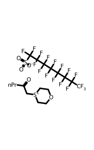 CCCC(=O)C[S+]1CCOCC1.O=S(=O)([O-])C(F)(F)C(F)(F)C(F)(F)C(F)(F)C(F)(F)C(F)(F)C(F)(F)C(F)(F)F